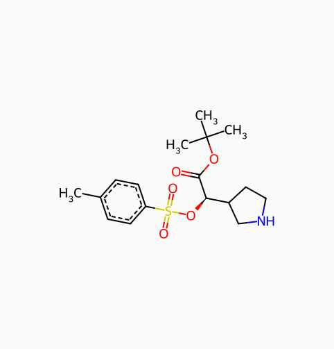 Cc1ccc(S(=O)(=O)O[C@@H](C(=O)OC(C)(C)C)C2CCNC2)cc1